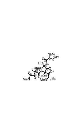 CCC(C)[C@H](NC)C(=O)C(O)(CC(=O)C(C)(O)C(=O)[C@H](C)NC)C(=O)C(O)(CC(=O)[C@H](CC(C)C)NC)C(=O)O